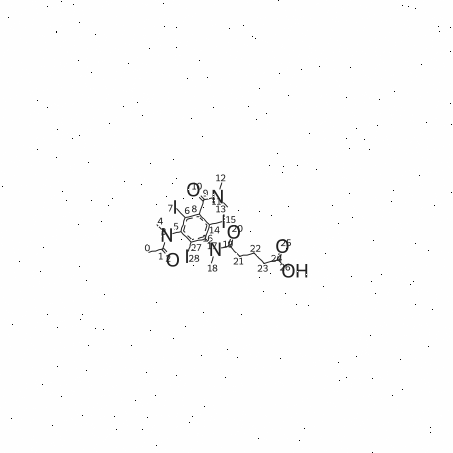 CC(=O)N(C)c1c(I)c(C(=O)N(C)C)c(I)c(N(C)C(=O)CCCC(=O)O)c1I